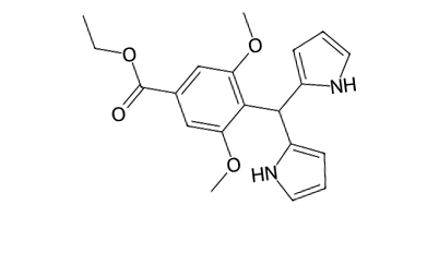 CCOC(=O)c1cc(OC)c(C(c2ccc[nH]2)c2ccc[nH]2)c(OC)c1